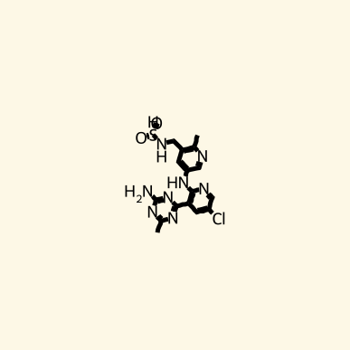 Cc1nc(N)nc(-c2cc(Cl)cnc2Nc2cnc(C)c(CN[SH](=O)=O)c2)n1